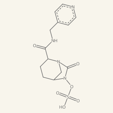 O=C(NCc1ccncc1)C1CCC2CN1C(=O)N2OS(=O)(=O)O